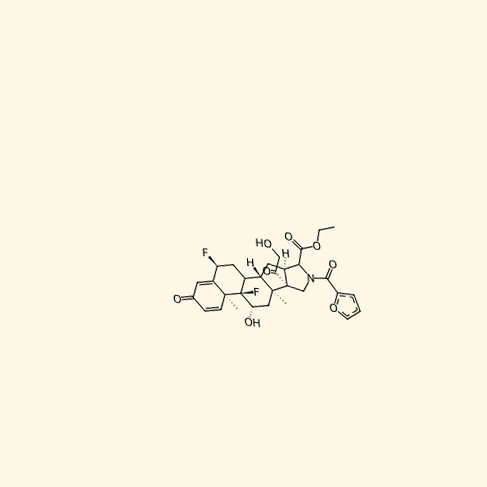 CCOC(=O)C1[C@@H]2C[C@H]3C4C[C@H](F)C5=CC(=O)C=C[C@]5(C)[C@@]4(F)[C@@H](O)C[C@]3(C)[C@]2(C(=O)CO)CN1C(=O)c1ccco1